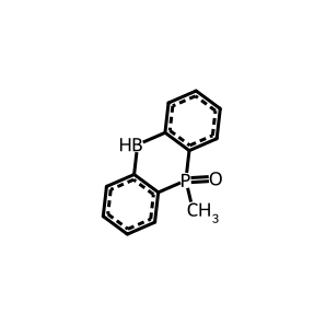 CP1(=O)c2ccccc2Bc2ccccc21